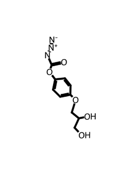 [N-]=[N+]=NC(=O)Oc1ccc(OCC(O)CO)cc1